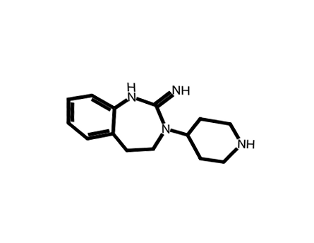 N=C1Nc2ccccc2CCN1C1CCNCC1